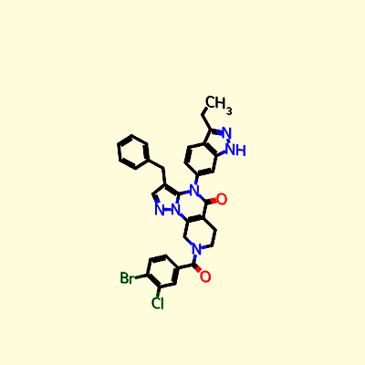 CCc1n[nH]c2cc(-n3c(=O)c4c(n5ncc(Cc6ccccc6)c35)CN(C(=O)c3ccc(Br)c(Cl)c3)CC4)ccc12